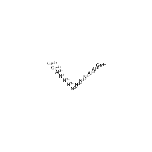 [Al+3].[Al+3].[Al+3].[Ge+4].[Ge+4].[Ge+4].[N-3].[N-3].[N-3].[N-3].[N-3].[N-3].[N-3]